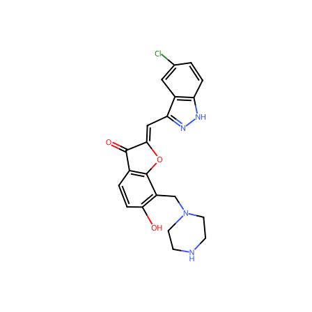 O=C1/C(=C/c2n[nH]c3ccc(Cl)cc23)Oc2c1ccc(O)c2CN1CCNCC1